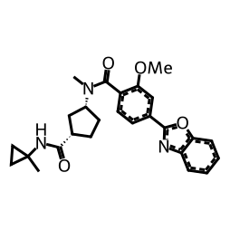 COc1cc(-c2nc3ccccc3o2)ccc1C(=O)N(C)[C@@H]1CC[C@H](C(=O)NC2(C)CC2)C1